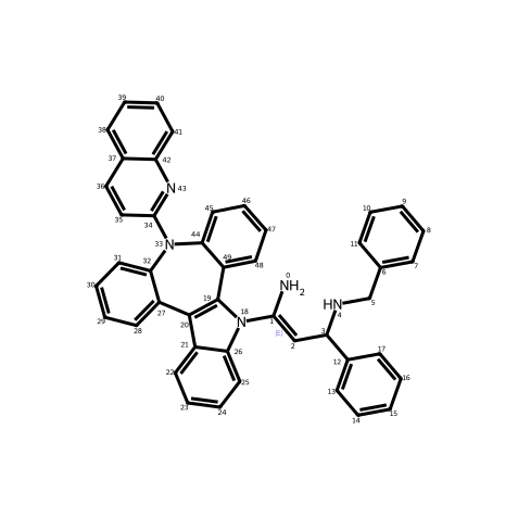 N/C(=C\C(NCc1ccccc1)c1ccccc1)n1c2c(c3ccccc31)-c1ccccc1N(c1ccc3ccccc3n1)c1ccccc1-2